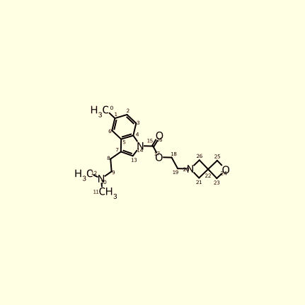 Cc1ccc2c(c1)c(CCN(C)C)cn2C(=O)OCCN1CC2(COC2)C1